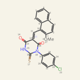 COc1ccc2ccccc2c1/C=C1/C(=O)NC(=S)N(c2ccc(Cl)cc2)C1=O